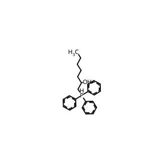 CCCCC[C@@H](O)C[PH](c1ccccc1)(c1ccccc1)c1ccccc1